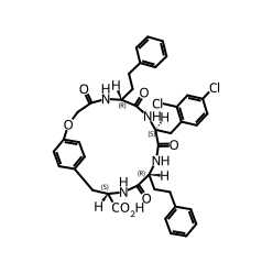 O=C1COc2ccc(cc2)C[C@@H](C(=O)O)NC(=O)[C@@H](CCc2ccccc2)NC(=O)[C@H](Cc2ccc(Cl)cc2Cl)NC(=O)[C@@H](CCc2ccccc2)N1